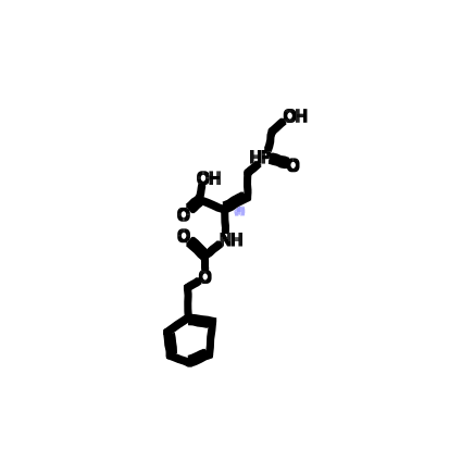 O=C(N/C(=C/C[PH](=O)CO)C(=O)O)OCc1ccccc1